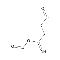 N=C(CC[C]=O)O[C]=O